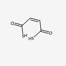 O=C(S)/C=C\C(=O)S